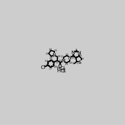 CC1SCc2ncnc(N3CCN(C(=O)C(CN4CCCC4)c4ccc(Cl)cc4)CC3)c21.Cl.Cl